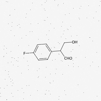 O=CC(CO)c1ccc(F)cc1